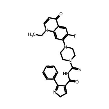 CCn1ccc(=O)c2cc(F)c(N3CCN(C(=S)NC(=O)C4=CCN=C4c4ccccc4)CC3)cc21